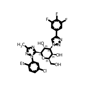 CCc1ccc(Cl)cc1-n1nc(C)nc1[C@@H]1O[C@H](CO)[C@H](O)[C@H](n2cc(-c3cc(F)c(F)c(F)c3)nn2)[C@H]1O